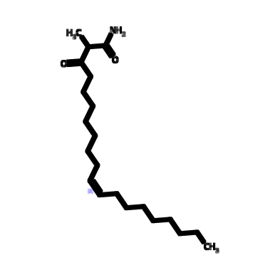 CCCCCCCC/C=C\CCCCCCCC(=O)C(C)C(N)=O